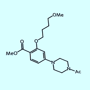 COCCCCOc1cc(N2CCN(C(C)=O)CC2)ccc1C(=O)OC